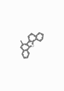 Cc1cc2ccccc2c2oc3c4ccccc4ccc3c12